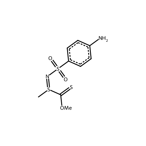 COC(=S)S(C)=NS(=O)(=O)c1ccc(N)cc1